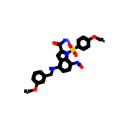 COc1ccc(S(=O)(=O)n2c(C(N)=O)cc3c(NCc4cccc(OC)c4)ccc(N=O)c32)cc1